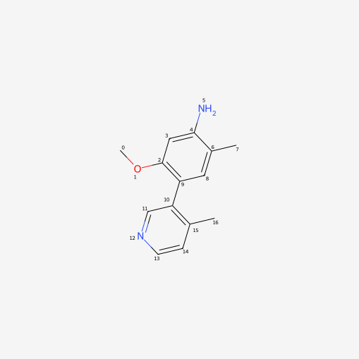 COc1cc(N)c(C)cc1-c1cnccc1C